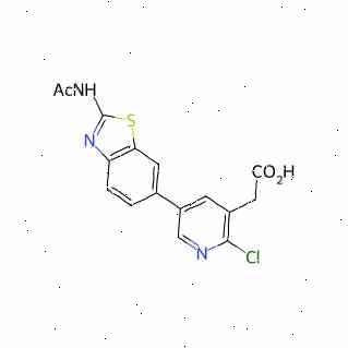 CC(=O)Nc1nc2ccc(-c3cnc(Cl)c(CC(=O)O)c3)cc2s1